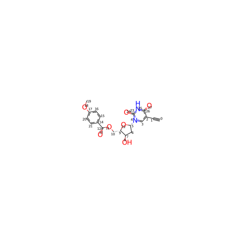 C#Cc1cn([C@@H]2CC(O)[C@H](COC(=O)c3ccc(OC)cc3)O2)c(=O)[nH]c1=O